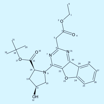 CCOC(=O)Cc1nc(N2C[C@@H](O)C[C@H]2C(=O)OC(C)(C)C)c2oc3ccccc3c2n1